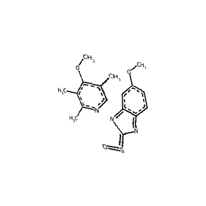 COc1c(C)cnc(C)c1C.COc1ccc2c(c1)=NC(=S=O)N=2